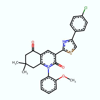 COc1ccccc1-n1c2c(cc(-c3nc(-c4ccc(Cl)cc4)cs3)c1=O)C(=O)CC(C)(C)C2